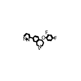 CN1CCC(Oc2ccc(F)cc2F)c2ccc(-c3cccnn3)cc2C1